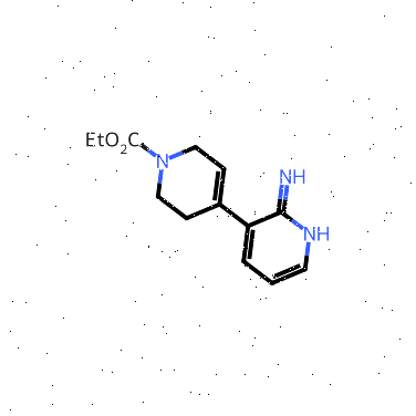 CCOC(=O)N1CC=C(c2ccc[nH]c2=N)CC1